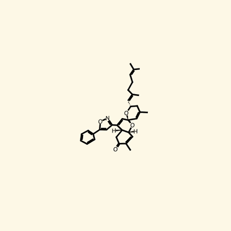 CC(C)=CCC/C(C)=C/[C@@H]1CC(C)=C[C@]2(C=C(c3cc(-c4ccccc4)on3)[C@H]3CC(=O)C(C)=C[C@H]3O2)O1